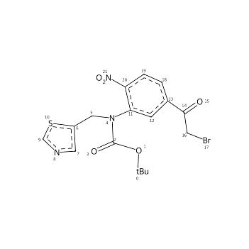 CC(C)(C)OC(=O)N(Cc1cncs1)c1cc(C(=O)CBr)ccc1[N+](=O)[O-]